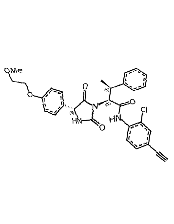 C#Cc1ccc(NC(=O)[C@H]([C@@H](C)c2ccccc2)N2C(=O)N[C@H](c3ccc(OCCOC)cc3)C2=O)c(Cl)c1